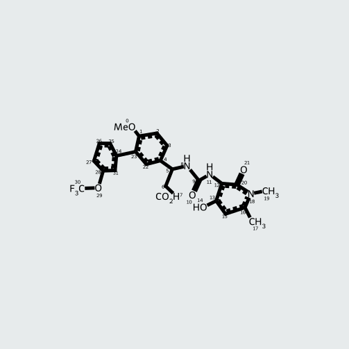 COc1ccc(C(CC(=O)O)NC(=O)Nc2c(O)cc(C)n(C)c2=O)cc1-c1cccc(OC(F)(F)F)c1